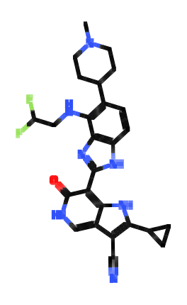 CN1CCC(c2ccc3[nH]c(-c4c(=O)[nH]cc5c(C#N)c(C6CC6)[nH]c45)nc3c2NCC(F)F)CC1